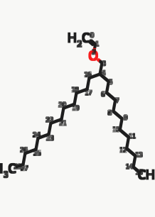 C=COCC(CCCCCCCCCCC)CCCCCCCCCCCCC